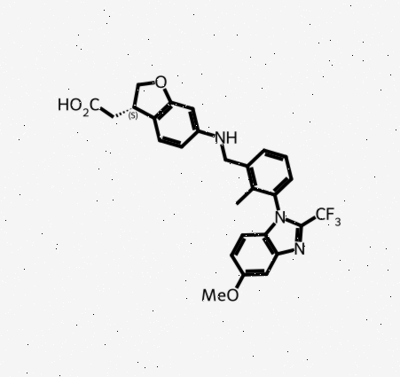 COc1ccc2c(c1)nc(C(F)(F)F)n2-c1cccc(CNc2ccc3c(c2)OC[C@H]3CC(=O)O)c1C